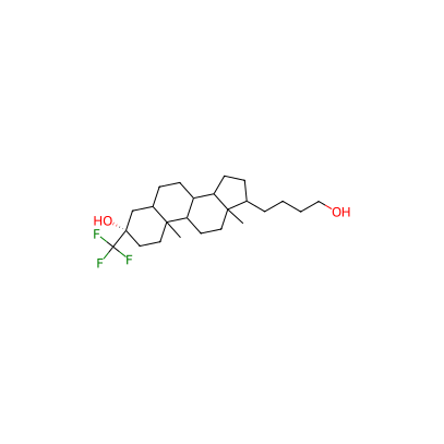 CC12CCC3C(CCC4C[C@](O)(C(F)(F)F)CCC43C)C1CCC2CCCCO